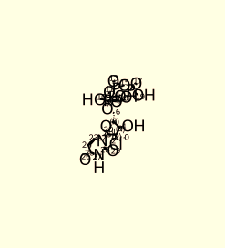 C[C@@]1(Cl)[C@H](O)[C@@H](COP(=O)(O)OP(=O)(O)OP(=O)(O)O)O[C@@H]1n1ccc(=O)[nH]c1=O